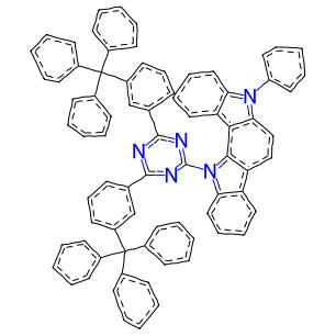 c1ccc(-n2c3ccccc3c3c2ccc2c4ccccc4n(-c4nc(-c5cccc(C(c6ccccc6)(c6ccccc6)c6ccccc6)c5)nc(-c5cccc(C(c6ccccc6)(c6ccccc6)c6ccccc6)c5)n4)c23)cc1